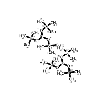 CC(C)(C)[Si](C)(C)OP(O[Si](C)(C)C(C)(C)C)O[Si](C)(C)C(C)(C)C.C[Si](C)(C)OP(O[Si](C)(C)C)O[Si](C)(C)C